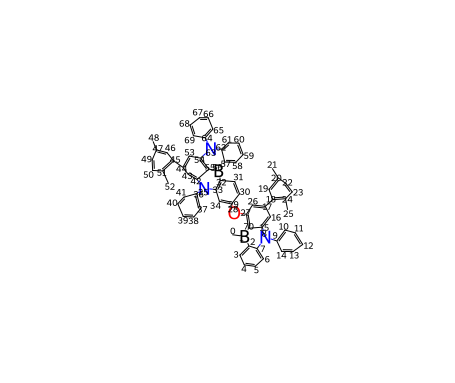 CB1c2ccccc2N(c2ccccc2)c2cc(-c3cc(C)ccc3C)cc(Oc3ccc4c(c3)N(c3ccccc3)c3cc(-c5cc(C)ccc5C)cc5c3B4c3ccccc3N5c3ccccc3)c21